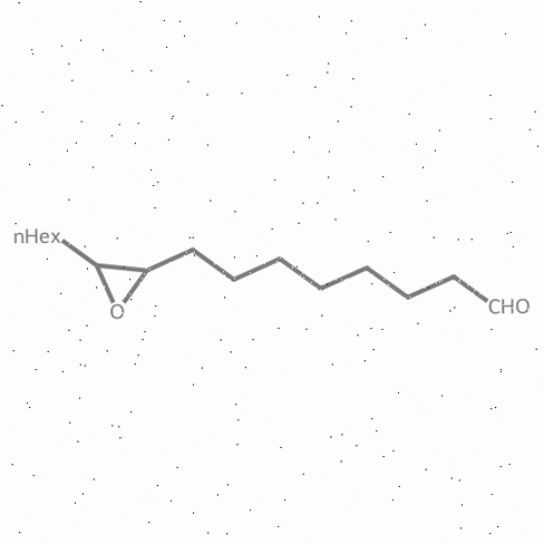 CCCCCCC1OC1CCCCCCCC=O